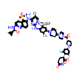 CCc1cc(Nc2ncc(Br)c(Nc3ccc4nc(NC(=O)C5CC5)ccc4c3P(C)(C)=O)n2)c(OC)cc1N1CCC(N2CCN(C(=O)[C@@H]3CCN(c4cc(F)c([C@H]5CCC(=O)NC5=O)c(F)c4)C3)CC2)CC1